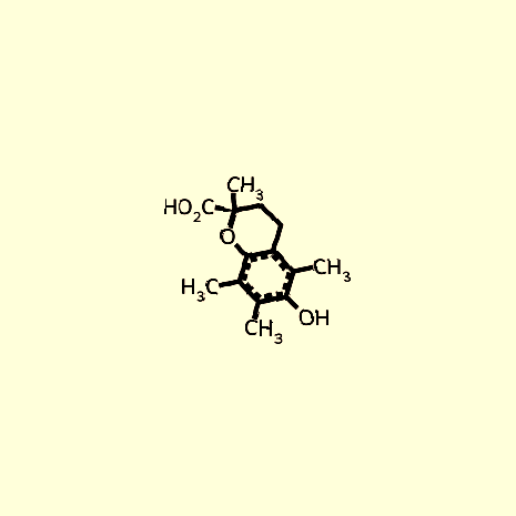 Cc1c(C)c2c(c(C)c1O)CC[C@](C)(C(=O)O)O2